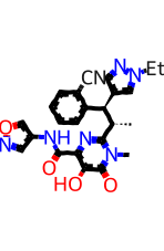 CCn1cc([C@H](c2ccccc2C#N)[C@H](C)c2nc(C(=O)Nc3cnoc3)c(O)c(=O)n2C)cn1